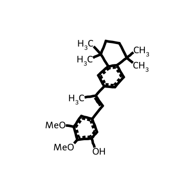 COc1cc(C=C(C)c2ccc3c(c2)C(C)(C)CCC3(C)C)cc(O)c1OC